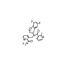 Cc1ncccc1C(=O)N(Cc1cccnc1C(N)=O)C1COc2c(F)cc(F)cc21